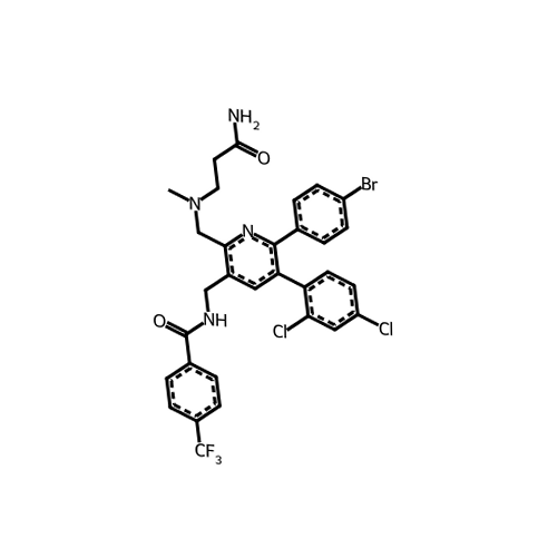 CN(CCC(N)=O)Cc1nc(-c2ccc(Br)cc2)c(-c2ccc(Cl)cc2Cl)cc1CNC(=O)c1ccc(C(F)(F)F)cc1